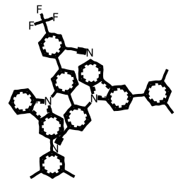 Cc1cc(C)cc(-c2ccc3c(c2)c2ccccc2n3-c2ccc(C#N)cc2-c2ccc(-c3ccc(C(F)(F)F)cc3C#N)cc2-n2c3ccccc3c3cc(-c4cc(C)cc(C)c4)ccc32)c1